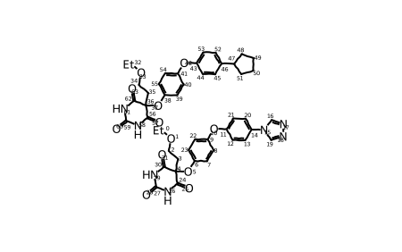 CCOCCC1(Oc2ccc(Oc3ccc(-n4cnnc4)cc3)cc2)C(=O)NC(=O)NC1=O.CCOCCC1(Oc2ccc(Oc3ccc(C4CCCC4)cc3)cc2)C(=O)NC(=O)NC1=O